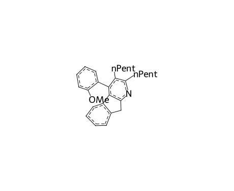 CCCCCc1nc2c(c(-c3ccccc3OC)c1CCCCC)-c1ccccc1C2